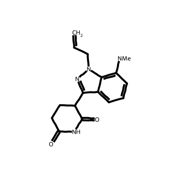 C=CCn1nc(C2CCC(=O)NC2=O)c2cccc(NC)c21